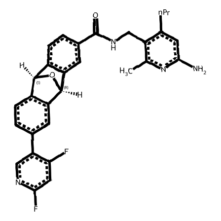 CCCc1cc(N)nc(C)c1CNC(=O)c1ccc2c(c1)[C@@H]1O[C@H]2c2ccc(-c3cnc(F)cc3F)cc21